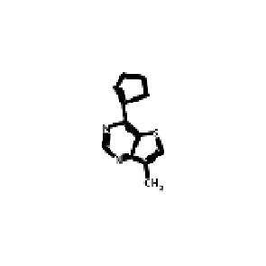 Cc1csc2c(C3=CCCC3)ncnc12